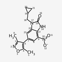 Cc1noc(C)c1-c1cc([N+](=O)[O-])c2[nH]c(=O)n(CC3CC3)c2c1